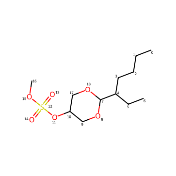 CCCCC(CC)C1OCC(OS(=O)(=O)OC)CO1